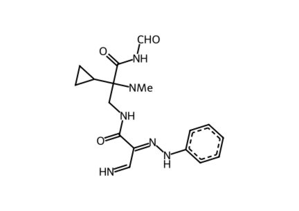 CNC(CNC(=O)/C(C=N)=N/Nc1ccccc1)(C(=O)NC=O)C1CC1